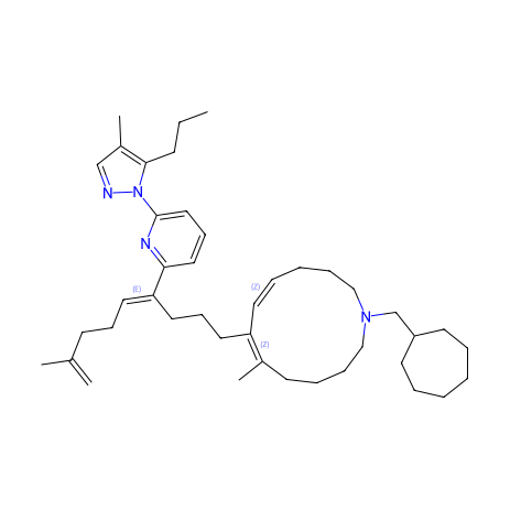 C=C(C)CC/C=C(\CCCC1=C(\C)CCCCN(CC2CCCCCC2)CCC/C=C\1)c1cccc(-n2ncc(C)c2CCC)n1